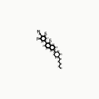 CCCCCC1CCC(c2ccc3c(F)c(-c4cc(F)c(C#N)c(F)c4)ccc3c2)CC1